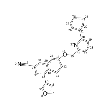 N#Cc1cc(-c2ccoc2)c2ccc(OCc3cccc(-c4ccccc4)n3)cc2c1